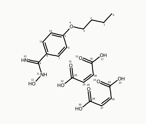 CCCCOc1ccc(C(=N)NO)cc1.O=C(O)/C=C\C(=O)O.O=C(O)/C=C\C(=O)O